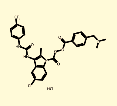 Cc1c(NC(=O)Nc2ccc(C(F)(F)F)cc2)c2cc(Cl)ccc2n1C(=O)OOC(=O)c1ccc(CN(C)C)cc1.Cl